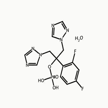 O.O=P(O)(O)OC(Cn1cncn1)(Cn1cncn1)c1ccc(F)cc1F